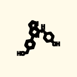 OCc1ccc(-c2cn3ccnc3c(NC3CCC(O)CC3)n2)cc1